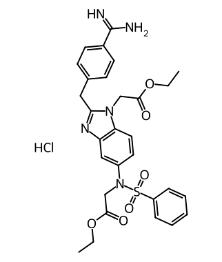 CCOC(=O)CN(c1ccc2c(c1)nc(Cc1ccc(C(=N)N)cc1)n2CC(=O)OCC)S(=O)(=O)c1ccccc1.Cl